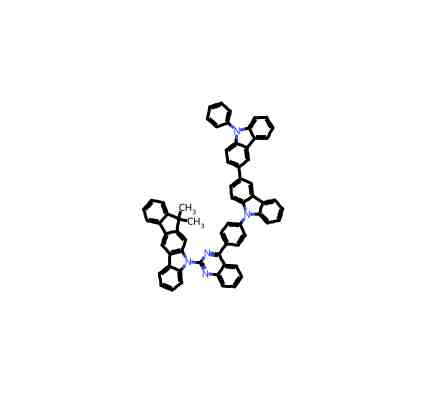 CC1(C)c2ccccc2-c2cc3c4ccccc4n(-c4nc(-c5ccc(-n6c7ccccc7c7cc(-c8ccc9c(c8)c8ccccc8n9-c8ccccc8)ccc76)cc5)c5ccccc5n4)c3cc21